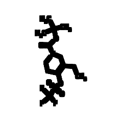 CCC1=C(OS(=O)(=O)C(F)(F)F)CCN(C(=O)OC(C)(C)C)C1